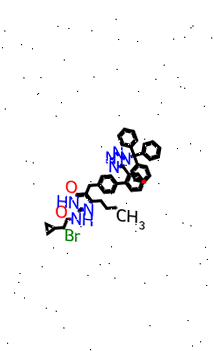 CCCCc1nc(NC(=O)C(Br)C2CC2)[nH]c(=O)c1Cc1ccc(-c2ccccc2-c2nnnn2C(c2ccccc2)(c2ccccc2)c2ccccc2)cc1